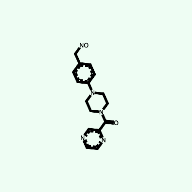 O=NCc1ccc(N2CCN(C(=O)c3cnccn3)CC2)cc1